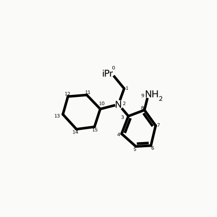 CC(C)CN(c1ccccc1N)C1CCCCC1